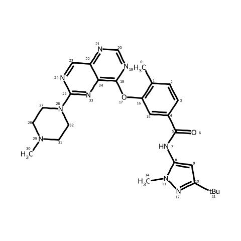 Cc1ccc(C(=O)Nc2cc(C(C)(C)C)nn2C)cc1Oc1ncnc2cnc(N3CCN(C)CC3)nc12